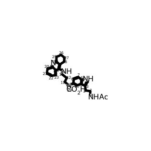 CC(=O)NCCc1c[nH]c2ccc(N(CCCNc3c4c(nc5ccccc35)CCCC4)C(=O)O)cc12